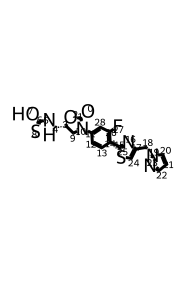 O=C1O[C@@H](CNC(O)=S)CN1c1ccc(-c2nc(Cn3cccn3)cs2)c(F)c1